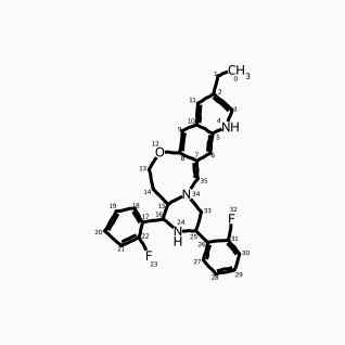 CCC1=CNc2cc3c(cc2=C1)OCCC1C(c2ccccc2F)NC(c2ccccc2F)CN1C=3